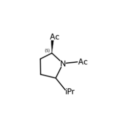 CC(=O)[C@@H]1CCC(C(C)C)N1C(C)=O